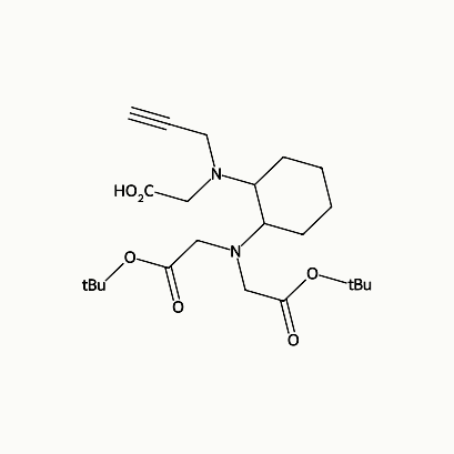 C#CCN(CC(=O)O)C1CCCCC1N(CC(=O)OC(C)(C)C)CC(=O)OC(C)(C)C